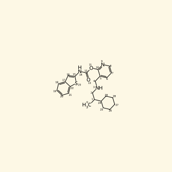 CC(CNCc1cccnc1OC(=O)Nc1cc2ccccc2s1)C1CCCCC1